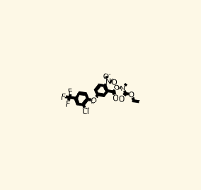 CCOC(=O)N(C)OC(=O)c1cc(Oc2ccc(C(F)(F)F)cc2Cl)ccc1[N+](=O)[O-]